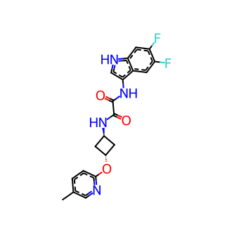 Cc1ccc(O[C@H]2C[C@H](NC(=O)C(=O)Nc3c[nH]c4cc(F)c(F)cc34)C2)nc1